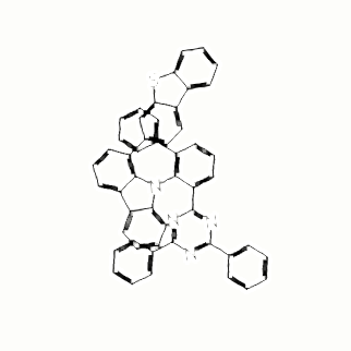 c1ccc(-c2nc(-c3ccccc3)nc(-c3cccc(-c4ccccc4)c3-n3c4ccccc4c4cccc(-c5ccc6c(c5)sc5ccccc56)c43)n2)cc1